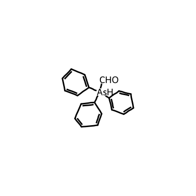 O=C[AsH](c1ccccc1)(c1ccccc1)c1ccccc1